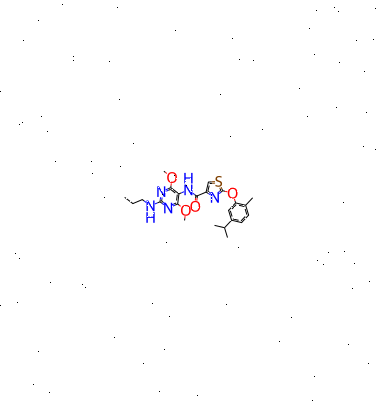 CCCNc1nc(OC)c(NC(=O)c2csc(Oc3cc(C(C)C)ccc3C)n2)c(OC)n1